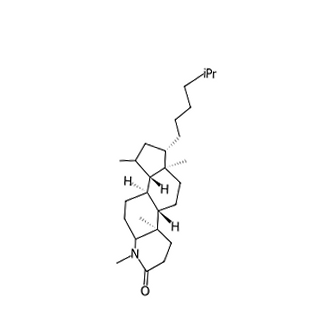 CC(C)CCCC[C@H]1CC(C)[C@H]2[C@@H]3CCC4N(C)C(=O)CC[C@]4(C)[C@H]3CC[C@]12C